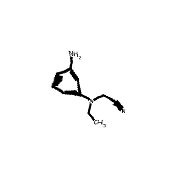 CCN(CC#N)c1cccc(N)c1